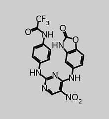 O=C(Nc1ccc(Nc2ncc([N+](=O)[O-])c(Nc3ccc4oc(=O)[nH]c4c3)n2)cc1)C(F)(F)F